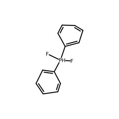 F[PH](F)(c1ccccc1)c1ccccc1